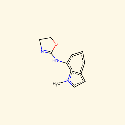 Cn1ccc2cccc(NC3=NCCO3)c21